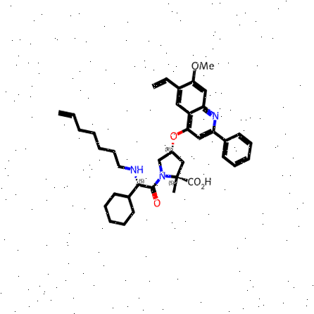 C=CCCCCCN[C@H](C(=O)N1C[C@H](Oc2cc(-c3ccccc3)nc3cc(OC)c(C=C)cc23)C[C@@]1(C)C(=O)O)C1CCCCC1